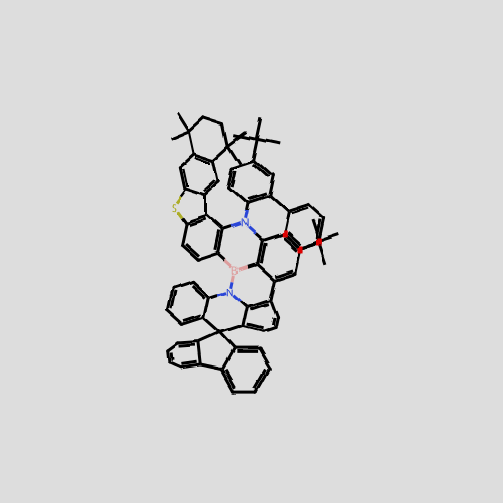 CC(C)(C)c1ccc(N2c3cc(C(C)(C)C)cc4c3B(c3ccc5sc6cc7c(cc6c5c32)C(C)(C)CCC7(C)C)N2c3ccccc3C3(c5ccccc5-c5ccccc53)c3cccc-4c32)c(-c2ccccc2)c1